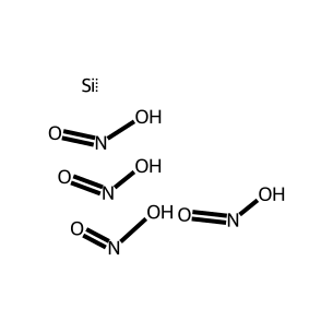 O=NO.O=NO.O=NO.O=NO.[Si]